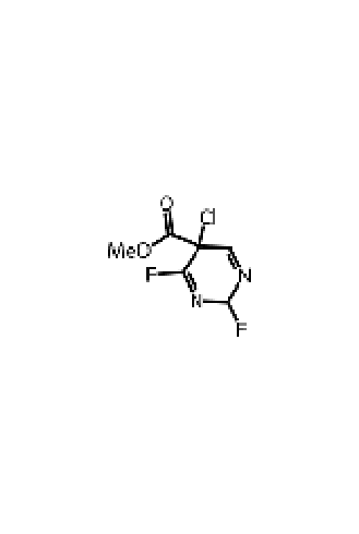 COC(=O)C1(Cl)C=NC(F)N=C1F